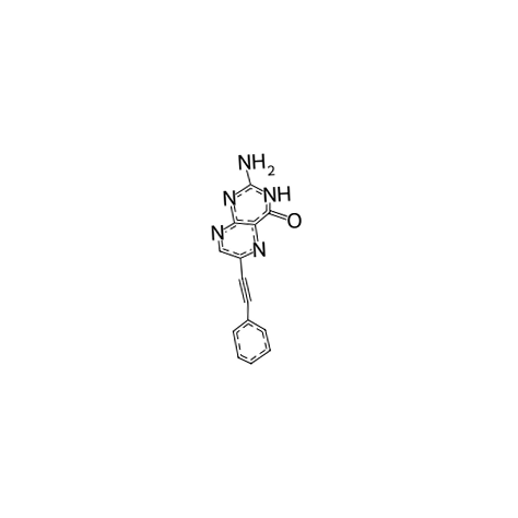 Nc1nc2ncc(C#Cc3ccccc3)nc2c(=O)[nH]1